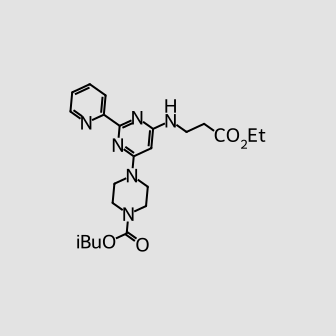 CCOC(=O)CCNc1cc(N2CCN(C(=O)OCC(C)C)CC2)nc(-c2ccccn2)n1